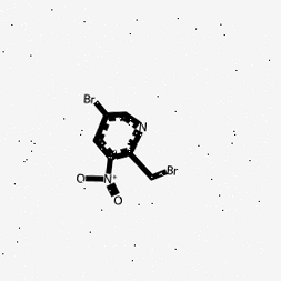 O=[N+]([O-])c1cc(Br)cnc1CBr